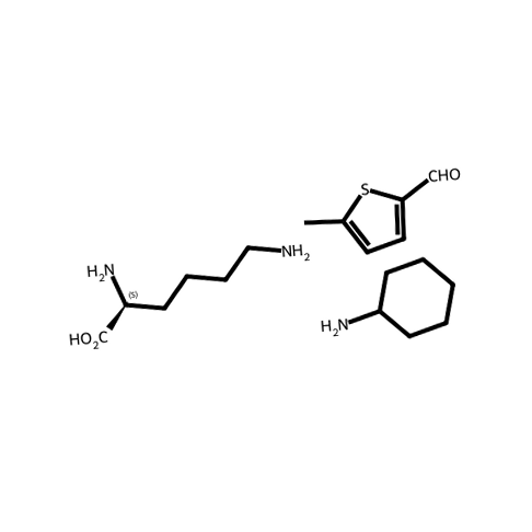 Cc1ccc(C=O)s1.NC1CCCCC1.NCCCC[C@H](N)C(=O)O